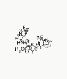 Cc1oc2ccc(OCc3cccnc3C(F)(F)F)cc2c1C(=O)NC1CCN(CC(F)(F)F)C1